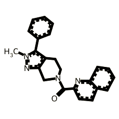 Cn1nc2c(c1-c1ccccc1)CCN(C(=O)c1ccc3ccccc3n1)C2